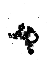 COc1ccc2c(OC3CC4C(=O)NC5(P(C)(C)=O)CC5/C=C/CCCCCC(NC(=O)OC5CCCC5)C(=O)N4C3)nc(-c3ccc(C)cc3)cc2c1